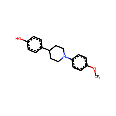 Oc1ccc(C2CCN(c3ccc(OC(F)(F)F)cc3)CC2)cc1